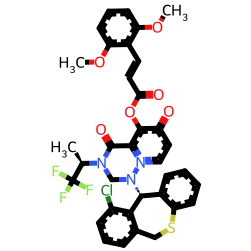 COc1cccc(OC)c1/C=C/C(=O)Oc1c2n(ccc1=O)N([C@@H]1c3ccccc3SCc3cccc(Cl)c31)CN([C@H](C)C(F)(F)F)C2=O